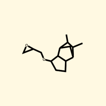 CC1C(C)C2CC1C1CCC(OCC3CO3)C21